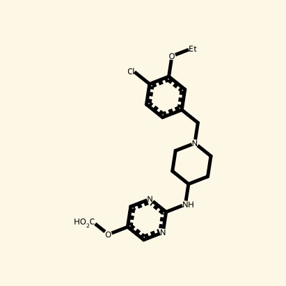 CCOc1cc(CN2CCC(Nc3ncc(OC(=O)O)cn3)CC2)ccc1Cl